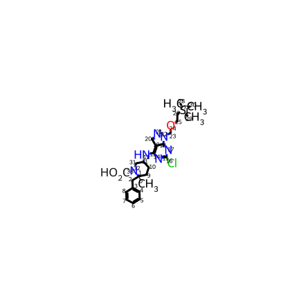 C[C@@]1(Cc2ccccc2)CC[C@@H](Nc2nc(Cl)nc3c2cnn3COCC[Si](C)(C)C)CN1C(=O)O